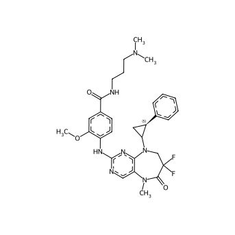 COc1cc(C(=O)NCCCN(C)C)ccc1Nc1ncc2c(n1)N(C1C[C@H]1c1ccccc1)CC(F)(F)C(=O)N2C